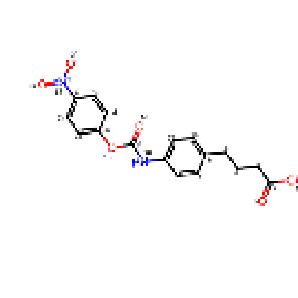 O=C(O)CCCc1ccc(NC(=O)Oc2ccc([N+](=O)[O-])cc2)cc1